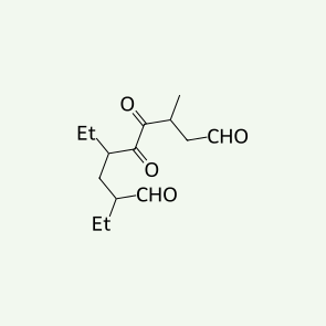 CCC(C=O)CC(CC)C(=O)C(=O)C(C)CC=O